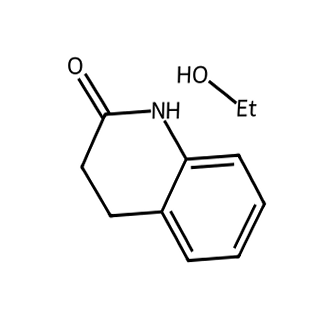 CCO.O=C1CCc2ccccc2N1